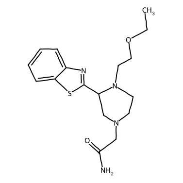 CCOCCN1CCN(CC(N)=O)CC1c1nc2ccccc2s1